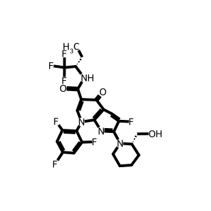 CC[C@H](NC(=O)c1cn(-c2c(F)cc(F)cc2F)c2nc(N3CCCC[C@H]3CO)c(F)cc2c1=O)C(F)(F)F